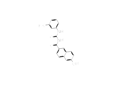 O=C(NC(=O)c1ccc2cc(O)ccc2c1)Nc1cccc(C(F)(F)F)c1